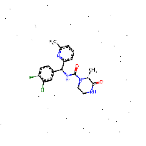 C[C@@H]1C(=O)NCCN1C(=O)N[C@@H](c1ccc(F)c(Cl)c1)c1cccc(C(F)(F)F)n1